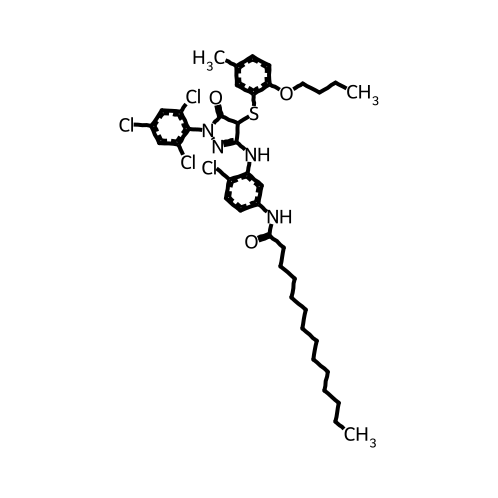 CCCCCCCCCCCCCC(=O)Nc1ccc(Cl)c(NC2=NN(c3c(Cl)cc(Cl)cc3Cl)C(=O)C2Sc2cc(C)ccc2OCCCC)c1